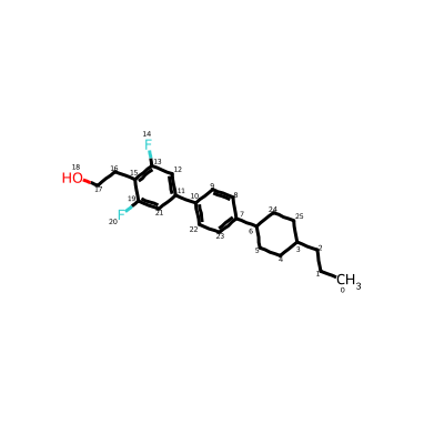 CCCC1CCC(c2ccc(-c3cc(F)c(CCO)c(F)c3)cc2)CC1